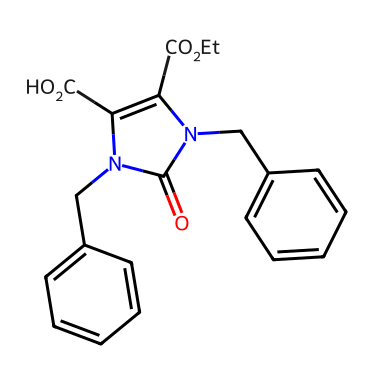 CCOC(=O)c1c(C(=O)O)n(Cc2ccccc2)c(=O)n1Cc1ccccc1